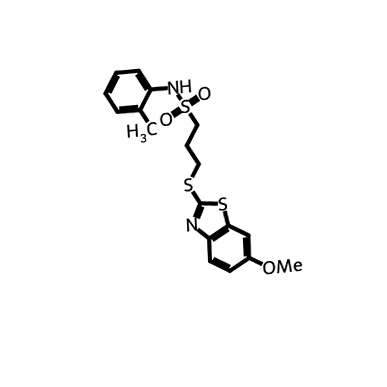 COc1ccc2nc(SCCCS(=O)(=O)Nc3ccccc3C)sc2c1